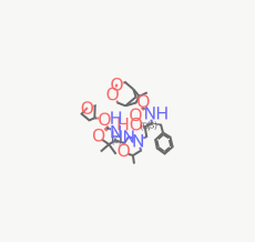 CC(C)CN(C[C@@H](O)[C@H](Cc1ccccc1)NC(=O)OC1C2COOCC1C(C)C2)NC(=O)[C@@H](NC(=O)OC1CCOC1)C(C)(C)C